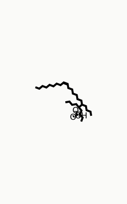 CCCCCCCC/C=C\CCCCCCC(CCCC)C(CCCC)(CCCC)[O][Ti](=[O])[OH]